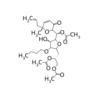 C=CC[C@]1(C)C=CC(=O)C([C@@H](OC(C)=O)C2OC(C[C@H](COC(C)=O)OC(C)=O)C(OCCCC)[C@H]2O)O1